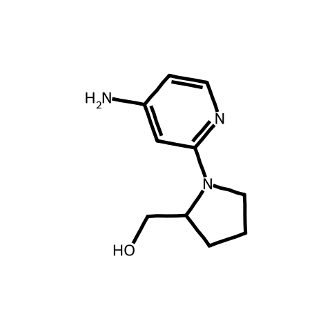 Nc1ccnc(N2CCCC2CO)c1